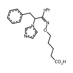 CCC/C(=N/OCCCCC(=O)O)C(Cc1ccccc1)n1ccnc1